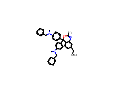 CNCc1ccc2c(c1)N=C(C(F)(F)F)OC2(c1ccc(N(C)Cc2ccccc2)cc1)c1ccc(N(C)Cc2ccccc2)cc1